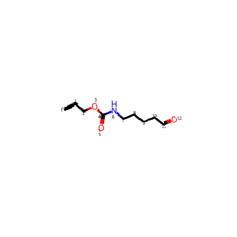 C=CCOC(=O)NCCCCC=O